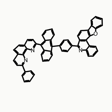 c1ccc(-c2ccc3ccc4ccc(-c5c6ccccc6c(-c6ccc(-c7nc8ccccc8c8c7ccc7c9ccccc9oc78)cc6)c6ccccc56)nc4c3n2)cc1